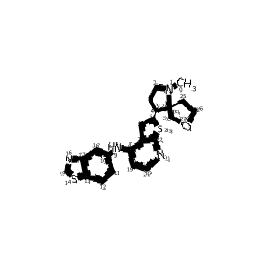 CN1CC[C@H](c2cc3c(Nc4ccc5scnc5c4)ccnc3s2)[C@]12CCOC2